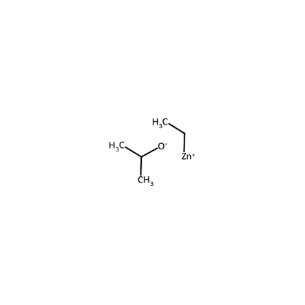 CC(C)[O-].C[CH2][Zn+]